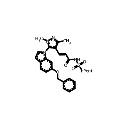 CCCCCS(=O)(=O)NC(=O)/C=C/c1c(C)nn(C)c1-n1ccc2ccc(OCc3ccccc3)cc21